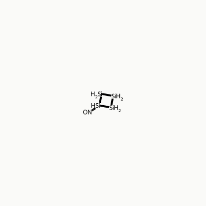 O=N[SiH]1[SiH2][SiH2][SiH2]1